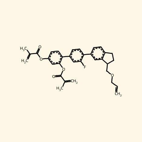 C=CCOCC1CCc2ccc(-c3ccc(-c4ccc(OC(=O)C(=C)C)cc4OC(=O)C(=C)C)cc3F)cc21